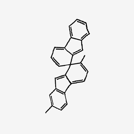 CC1=CC=C2C(=Cc3cc(C)ccc32)C12C=CC=C1C2=Cc2ccccc21